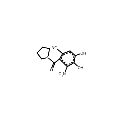 N#Cc1cc(O)c(O)c([N+](=O)[O-])c1C(=O)N1CCCC1